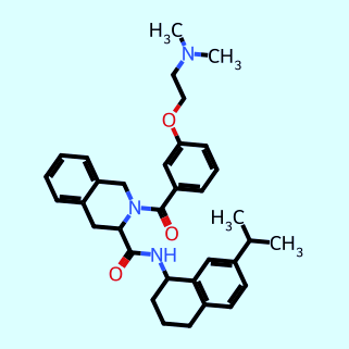 CC(C)c1ccc2c(c1)C(NC(=O)C1Cc3ccccc3CN1C(=O)c1cccc(OCCN(C)C)c1)CCC2